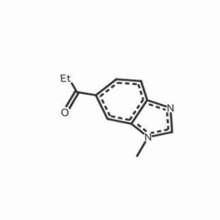 CCC(=O)c1ccc2ncn(C)c2c1